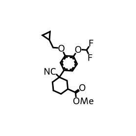 COC(=O)C1CCCC(C#N)(c2ccc(OC(F)F)c(OCC3CC3)c2)C1